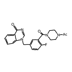 CC(=O)N1CCN(C(=O)c2cc(Cn3cnc(=O)c4ccccc43)ccc2F)CC1